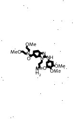 COCCN(CCOC)C(=O)c1ccc2nc(Nc3cc(OC)c(OC)c(OC)c3)n(CCCN)c2c1